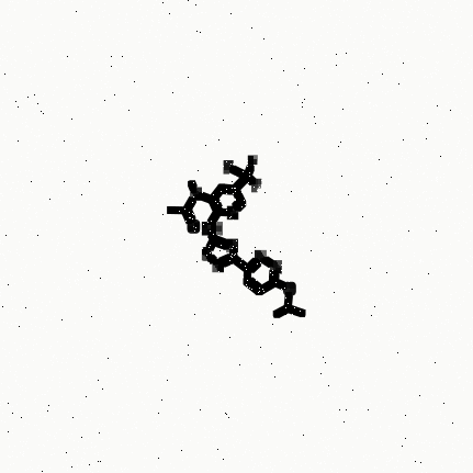 CC(=O)N(C)c1cc(C(F)(F)F)cnc1Nc1nc(-c2ccc(OC(C)C)nn2)ns1